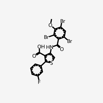 COc1c(Br)cc(Br)c(C(=O)Nc2csc(-c3cccc(F)c3)c2C(=O)O)c1Br